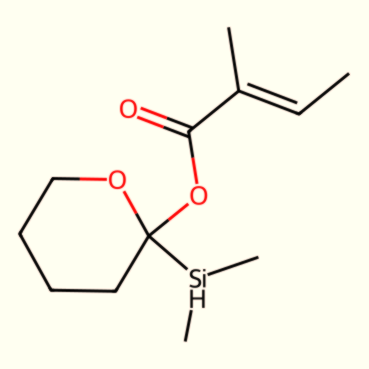 CC=C(C)C(=O)OC1([SiH](C)C)CCCCO1